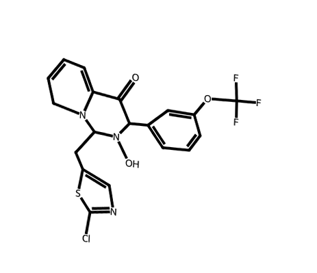 O=C1C2=CC=CCN2C(Cc2cnc(Cl)s2)N(O)C1c1cccc(OC(F)(F)F)c1